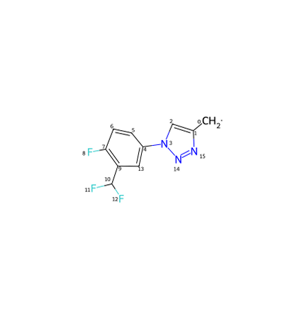 [CH2]c1cn(-c2ccc(F)c(C(F)F)c2)nn1